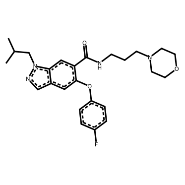 CC(C)Cn1ncc2cc(Oc3ccc(F)cc3)c(C(=O)NCCCN3CCOCC3)cc21